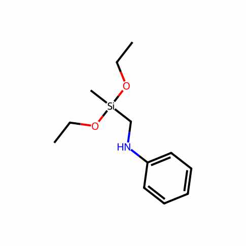 CCO[Si](C)(CNc1ccccc1)OCC